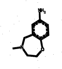 CN1CCOc2ccc(N)cc2C1